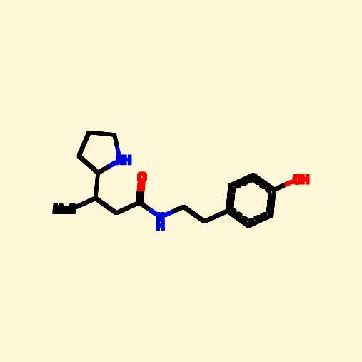 CSC(CC(=O)NCCc1ccc(O)cc1)C1CCCN1